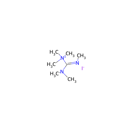 CN=C(N(C)C)[N+](C)(C)C.[I-]